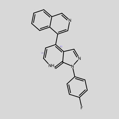 C=c1/c(=C(\C=C/N)c2cncc3ccccc23)cnn1-c1ccc(F)cc1